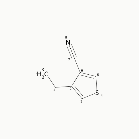 [CH2]Cc1cscc1C#N